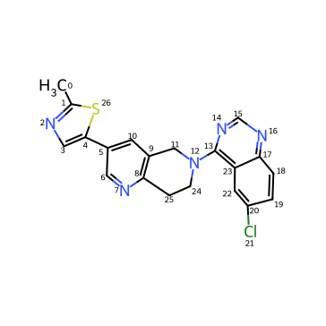 Cc1ncc(-c2cnc3c(c2)CN(c2ncnc4ccc(Cl)cc24)CC3)s1